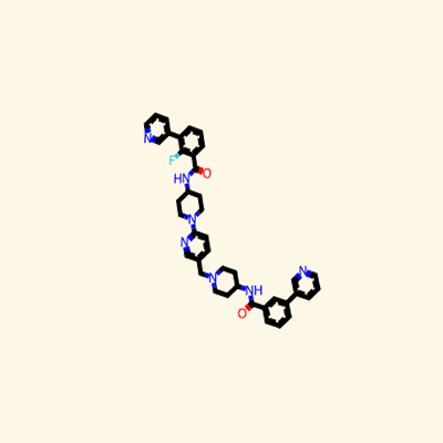 O=C(NC1CCN(Cc2ccc(N3CCC(NC(=O)c4cccc(-c5cccnc5)c4F)CC3)nc2)CC1)c1cccc(-c2cccnc2)c1